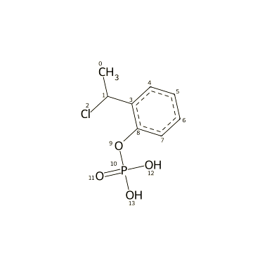 CC(Cl)c1ccccc1OP(=O)(O)O